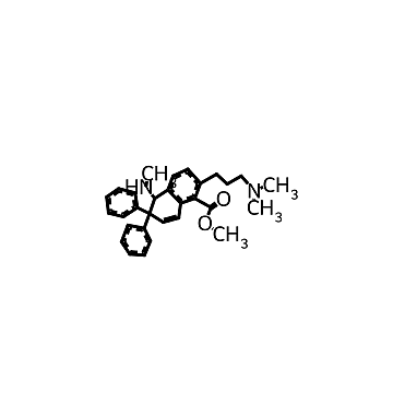 CNC1c2ccc(CCCN(C)C)c(C(=O)OC)c2C=CC1(c1ccccc1)c1ccccc1